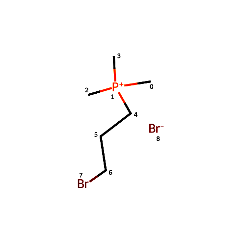 C[P+](C)(C)CCCBr.[Br-]